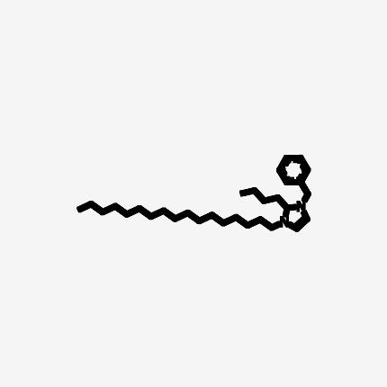 CCCCCCCCCCCCCCCCCN1C=CN(Cc2ccccc2)C1CCCC